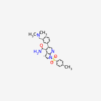 Cc1ccc(S(=O)(=O)n2c[c]c3c(C(N)=O)c(-c4cccc(CN(C)C)c4)cnc32)cc1